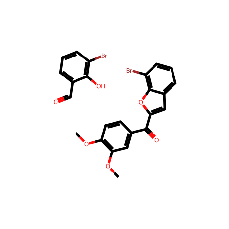 COc1ccc(C(=O)c2cc3cccc(Br)c3o2)cc1OC.O=Cc1cccc(Br)c1O